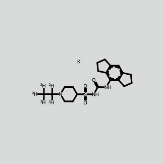 [2H]C([2H])([2H])C([2H])([2H])N1CCC(S(=O)(=O)NC(=O)Nc2c3c(cc4c2CCC4)CCC3)CC1.[K]